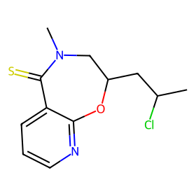 CC(Cl)CC1CN(C)C(=S)c2cccnc2O1